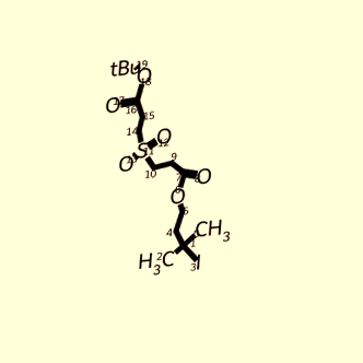 CC(C)(I)CCOC(=O)CCS(=O)(=O)CCC(=O)OC(C)(C)C